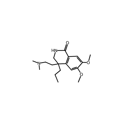 CCCC1(CCN(C)C)CNC(=O)c2cc(OC)c(OC)cc21